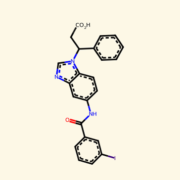 O=C(O)CC(c1ccccc1)n1cnc2cc(NC(=O)c3cccc(I)c3)ccc21